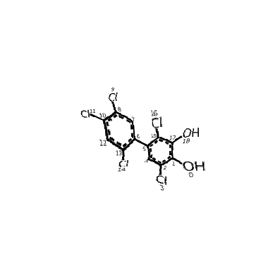 Oc1c(Cl)cc(-c2cc(Cl)c(Cl)cc2Cl)c(Cl)c1O